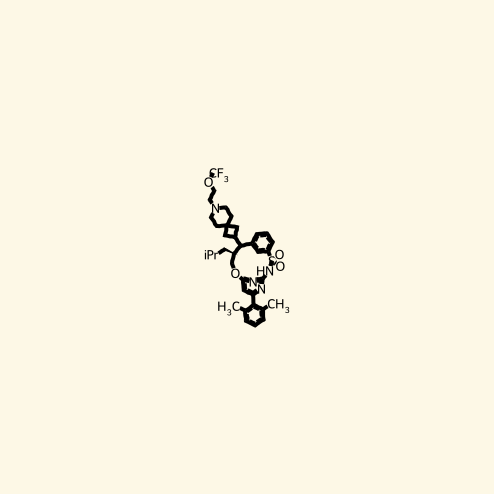 Cc1cccc(C)c1-c1cc2nc(n1)NS(=O)(=O)c1cccc(c1)C(C1CC3(CCN(CCOC(F)(F)F)CC3)C1)[C@H](CC(C)C)CO2